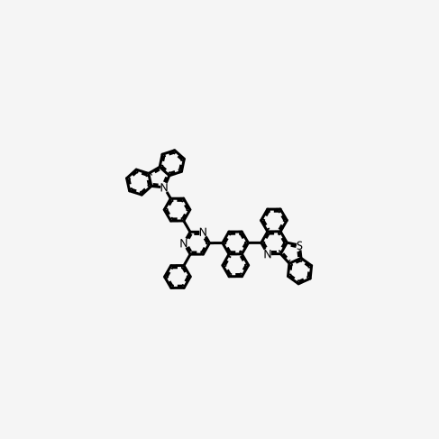 c1ccc(-c2cc(-c3ccc(-c4nc5c6ccccc6sc5c5ccccc45)c4ccccc34)nc(-c3ccc(-n4c5ccccc5c5ccccc54)cc3)n2)cc1